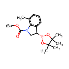 Cc1cccc2c1N(C(=O)OC(C)(C)C)CC2B1OC(C)(C)C(C)(C)O1